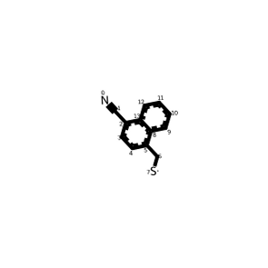 N#Cc1ccc(C[S])c2ccccc12